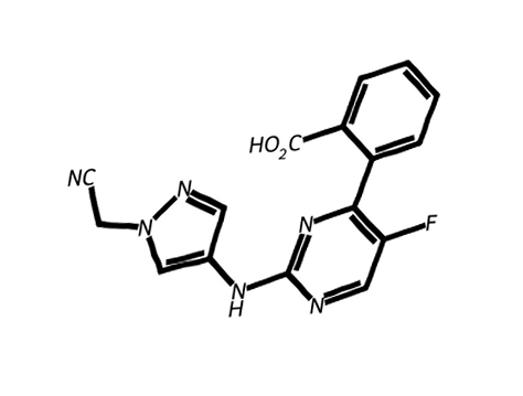 N#CCn1cc(Nc2ncc(F)c(-c3ccccc3C(=O)O)n2)cn1